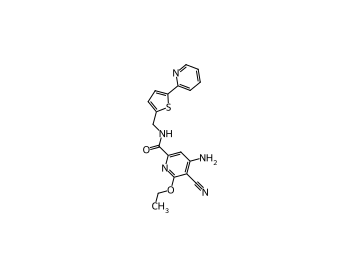 CCOc1nc(C(=O)NCc2ccc(-c3ccccn3)s2)cc(N)c1C#N